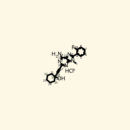 Cl.Cn1c(-c2ccccc2F)nc2c(N)nc(C#CC3(O)CCCCC3)nc21